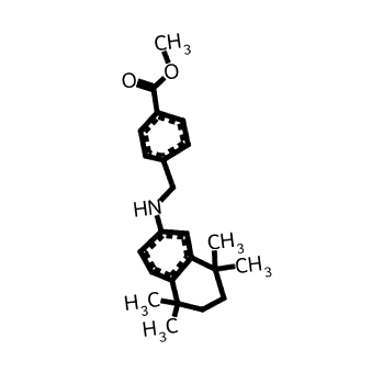 COC(=O)c1ccc(CNc2ccc3c(c2)C(C)(C)CCC3(C)C)cc1